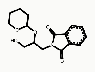 O=C1c2ccccc2C(=O)N1CC(CO)OC1CCCCO1